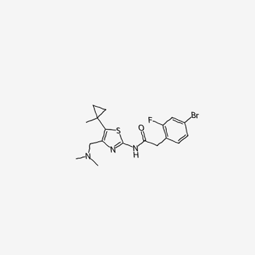 CN(C)Cc1nc(NC(=O)Cc2ccc(Br)cc2F)sc1C1(C)CC1